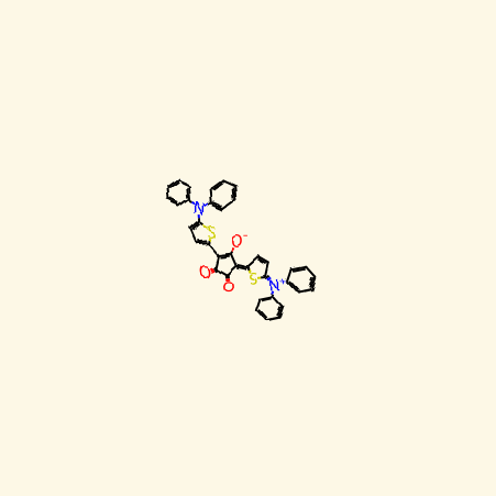 O=C1C(=O)/C(=C2/C=CC(=[N+](c3ccccc3)c3ccccc3)S2)C([O-])=C1c1ccc(N(c2ccccc2)c2ccccc2)s1